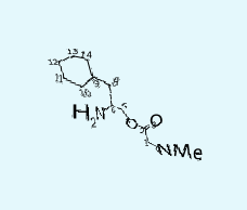 CNCC(=O)OCC(N)CC1CCCCC1